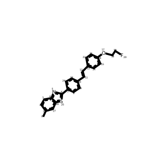 Cc1ccc2nc(-c3ccc(/C=C/c4ccc(OCCF)cc4)cc3)sc2c1